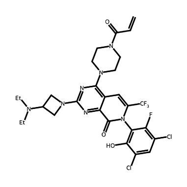 C=CC(=O)N1CCN(c2nc(N3CC(N(CC)CC)C3)nc3c(=O)n(-c4c(O)c(Cl)cc(Cl)c4F)c(C(F)(F)F)cc23)CC1